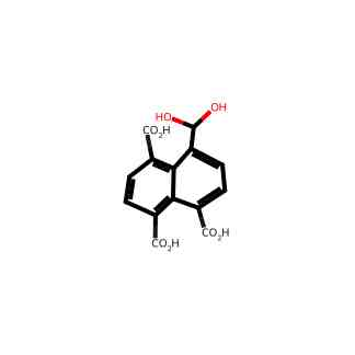 O=C(O)c1ccc(C(=O)O)c2c(C(O)O)ccc(C(=O)O)c12